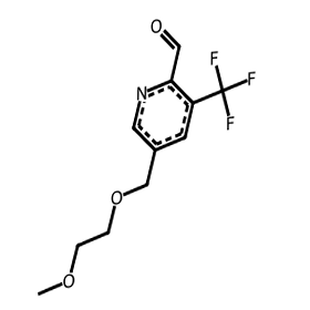 COCCOCc1cnc(C=O)c(C(F)(F)F)c1